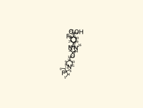 CCC(F)(CC)CN1CCC(COC2=CN(C)C(c3ccc(C(=O)O)c(F)c3)N=C2)CC1